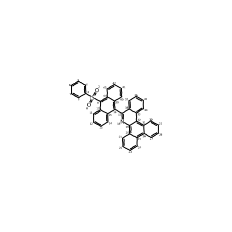 O=S(=O)(c1ccccc1)c1c2ccccc2c(-c2nc3c4ccccc4c4ccccc4c3c3ccccc23)c2ccccc12